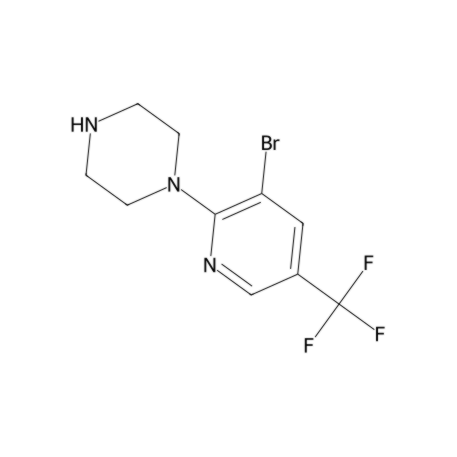 FC(F)(F)c1cnc(N2CCNCC2)c(Br)c1